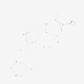 CCN(C=O)/C(CO)=N\N(C)c1c[nH]c(/C(F)=C/c2c(F)cccc2Cl)c1O[C@@H](C)C(F)(F)F